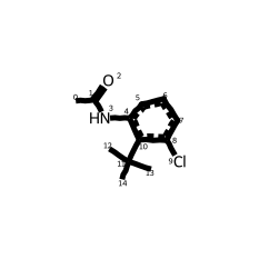 CC(=O)Nc1cccc(Cl)c1C(C)(C)C